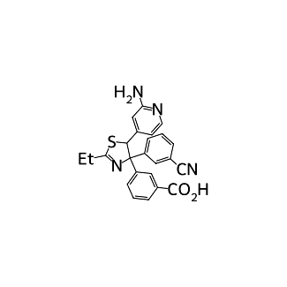 CCC1=NC(c2cccc(C#N)c2)(c2cccc(C(=O)O)c2)C(c2ccnc(N)c2)S1